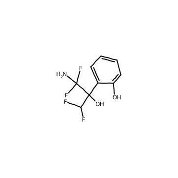 NC(F)(F)C(O)(c1ccccc1O)C(F)F